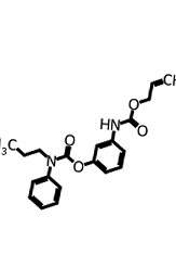 C=CCOC(=O)Nc1cccc(OC(=O)N(CCC)c2ccccc2)c1